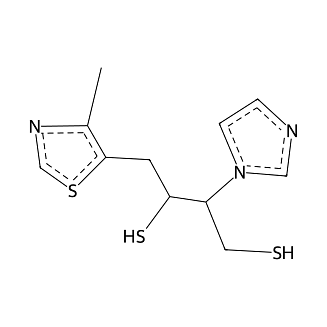 Cc1ncsc1CC(S)C(CS)n1ccnc1